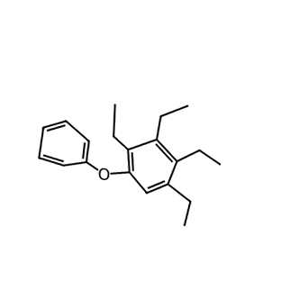 CCc1cc(Oc2ccccc2)c(CC)c(CC)c1CC